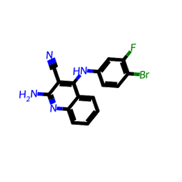 N#Cc1c(N)nc2ccccc2c1Nc1ccc(Br)c(F)c1